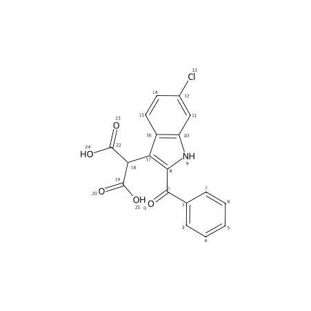 O=C(c1ccccc1)c1[nH]c2cc(Cl)ccc2c1C(C(=O)O)C(=O)O